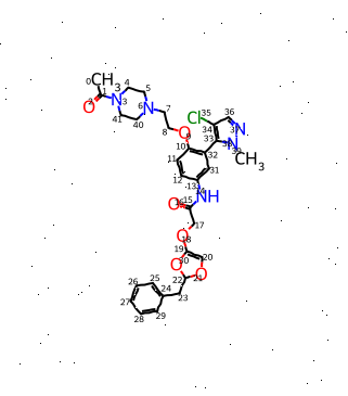 CC(=O)N1CCN(CCOc2ccc(NC(=O)COC3=COC(Cc4ccccc4)O3)cc2-c2c(Cl)cnn2C)CC1